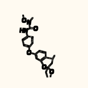 CCC1(OC)CC(C)c2ccc(Oc3ccc(NC(=O)N(C)OC)cc3)cc2O1